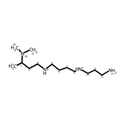 CC(CCNCCCCNCCCN)N(C)C